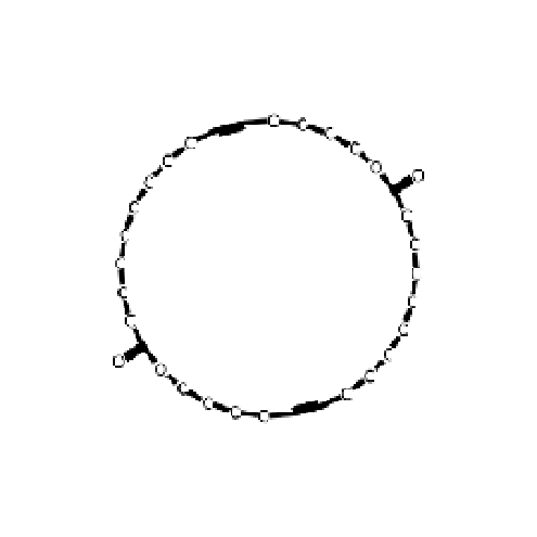 O=C1CCCCCCCCC=CCCCCOC(=O)CCCCCCCCC=CCCCCO1